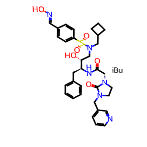 CC[C@H](C)[C@@H](C(=O)N[C@@H](Cc1ccccc1)[C@H](O)CN(CC1CCC1)S(=O)(=O)c1ccc(C=NO)cc1)N1CCN(Cc2cccnc2)C1=O